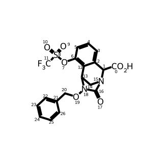 O=C(O)C1c2cccc(OS(=O)(=O)C(F)(F)F)c2C2CN1C(=O)N2OCc1ccccc1